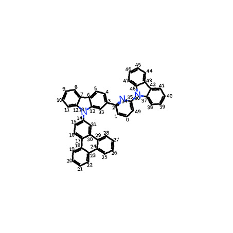 c1cc(-c2ccc3c4ccccc4n(-c4ccc5c6ccccc6c6ccccc6c5c4)c3c2)nc(-n2c3ccccc3c3ccccc32)c1